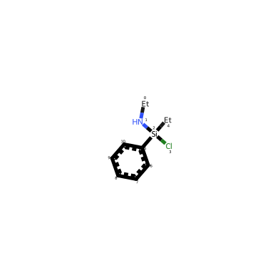 CCN[Si](Cl)(CC)c1ccccc1